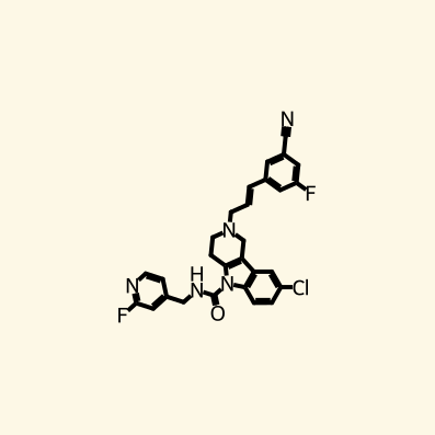 N#Cc1cc(F)cc(/C=C/CN2CCc3c(c4cc(Cl)ccc4n3C(=O)NCc3ccnc(F)c3)C2)c1